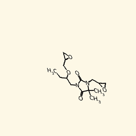 CCC(CN1C(=O)N(CC2CO2)C(C)(C)C1=O)OCC1CO1